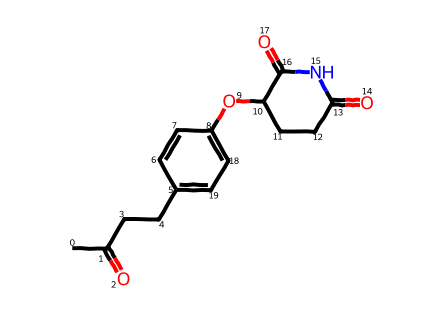 CC(=O)CCc1ccc(OC2CCC(=O)NC2=O)cc1